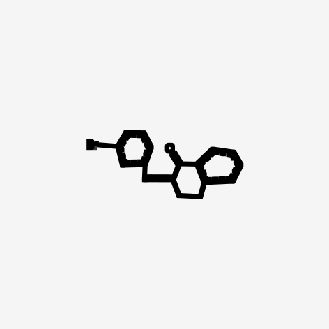 O=C1/C(=C\c2cccc(Br)c2)CCc2ccccc21